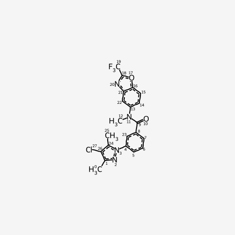 Cc1nn(-c2cccc(C(=O)N(C)c3ccc4oc(C(F)(F)F)nc4c3)c2)c(C)c1Cl